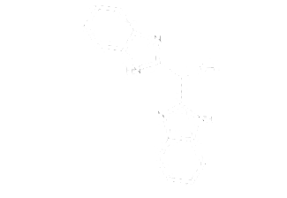 OC(c1nc2ccccc2[nH]1)c1nc2ccccc2[nH]1